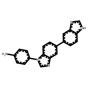 Nc1ccc(-n2[c]nc3cc(-c4ccc5[nH][c]nc5c4)ccc32)cc1